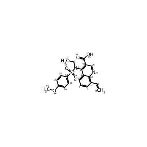 C=Cc1cccc2c(N(CC)S(=O)(=O)c3ccc(OC)cc3)c(C(=O)O)cnc12